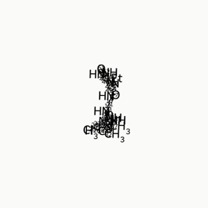 CCc1nc2cc(C(=O)NCCCCCNC(=O)C[C@@H]3N=C(c4ccc(Cl)cc4)c4c(sc(C)c4C)N(C(C)=N)C3=N)ccc2n1-c1ccc2[nH]c(=O)[nH]c2c1